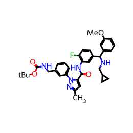 COc1cccc(C(NCC2CC2)c2ccc(F)c(NC(=O)c3cc(C)nn3-c3cccc(CNC(=O)OC(C)(C)C)c3)c2)c1